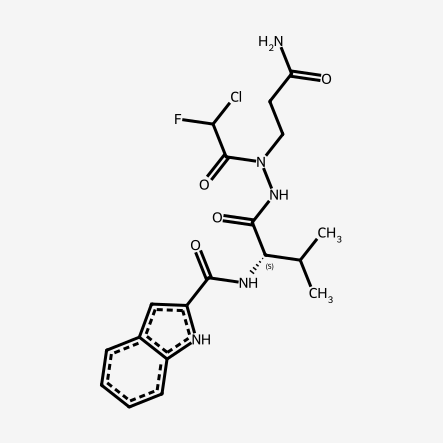 CC(C)[C@H](NC(=O)c1cc2ccccc2[nH]1)C(=O)NN(CCC(N)=O)C(=O)C(F)Cl